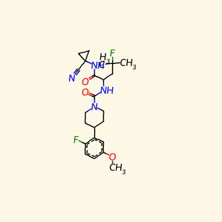 COc1ccc(F)c(C2CCN(C(=O)NC(CC(C)(C)F)C(=O)NC3(C#N)CC3)CC2)c1